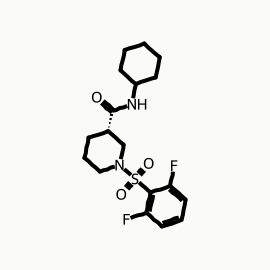 O=C(NC1CCCCC1)[C@H]1CCCN(S(=O)(=O)c2c(F)cccc2F)C1